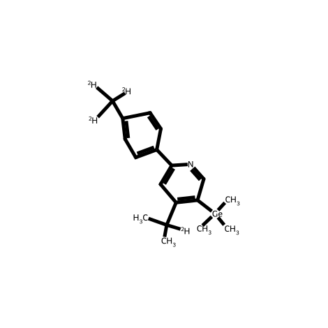 [2H]C([2H])([2H])c1ccc(-c2cc(C([2H])(C)C)[c]([Ge]([CH3])([CH3])[CH3])cn2)cc1